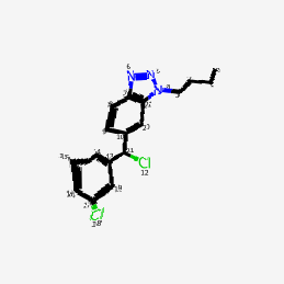 CCCCn1nnc2ccc(C(Cl)c3cccc(Cl)c3)cc21